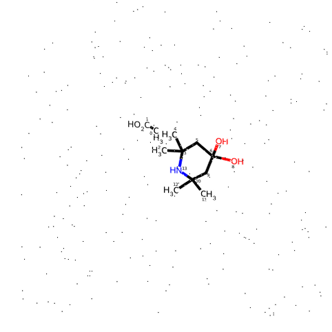 CC(=O)O.CC1(C)CC(O)(O)CC(C)(C)N1